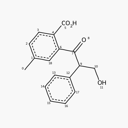 Cc1ccc(C(=O)O)c(C(=O)C(CO)c2ccccc2)c1